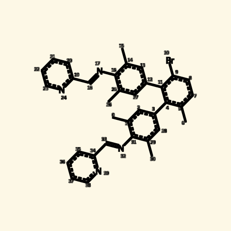 Cc1cc(-c2c(C)ccc(Br)c2-c2cc(C)c(N=Cc3ccccn3)c(C)c2)cc(C)c1N=Cc1ccccn1